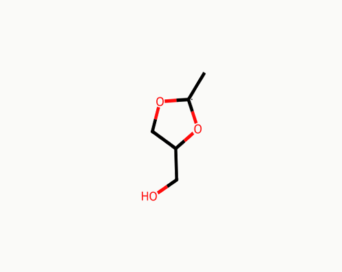 C[C]1OCC(CO)O1